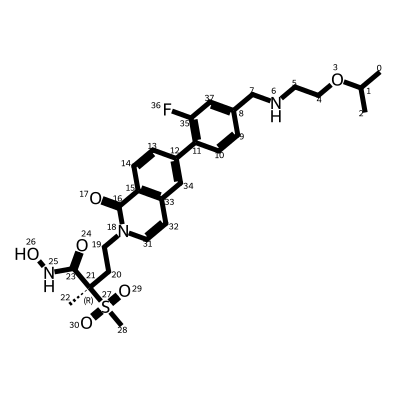 CC(C)OCCNCc1ccc(-c2ccc3c(=O)n(CC[C@](C)(C(=O)NO)S(C)(=O)=O)ccc3c2)c(F)c1